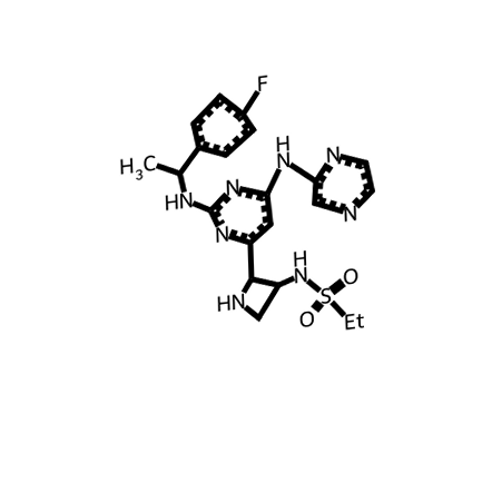 CCS(=O)(=O)NC1CNC1c1cc(Nc2cnccn2)nc(NC(C)c2ccc(F)cc2)n1